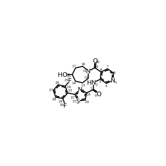 O=C(Nc1cnccc1C(=O)N1CCCC(O)CC1)c1csc(-c2c(F)cccc2F)n1